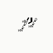 C=CC.CCCCC.N=C=O.N=C=O